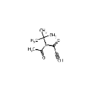 C#CC(=O)N(C(C)=O)C(C)(C)C